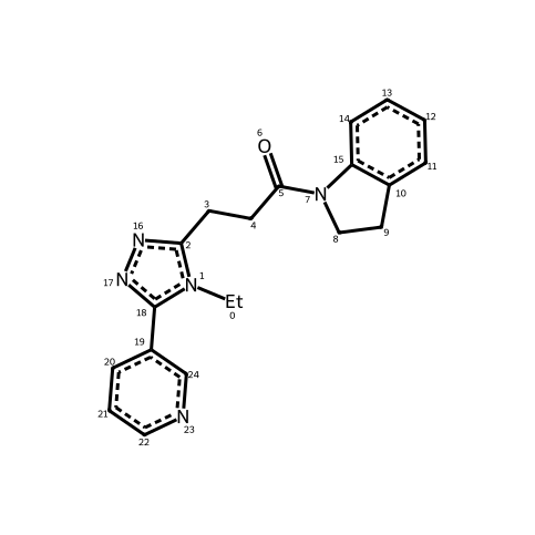 CCn1c(CCC(=O)N2CCc3ccccc32)nnc1-c1cccnc1